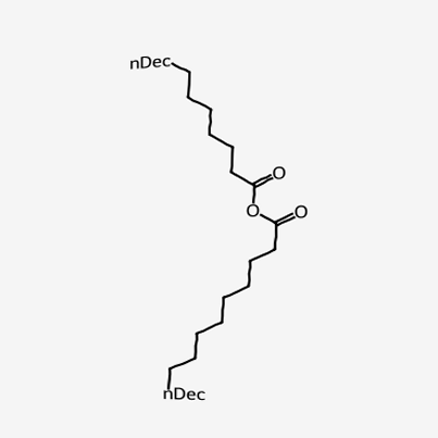 CCCCCCCCCCCCCCCCCCC(=O)OC(=O)CCCCCCCCCCCCCCCC